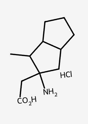 CC1C2CCCC2CC1(N)CC(=O)O.Cl